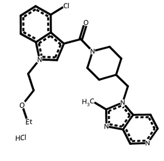 CCOCCn1cc(C(=O)N2CCC(Cn3c(C)nc4cnccc43)CC2)c2c(Cl)cccc21.Cl